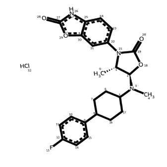 C[C@H]1[C@H](N(C)C2CCC(c3ccc(F)cc3)CC2)OC(=O)N1c1ccc2[nH]c(=O)oc2c1.Cl